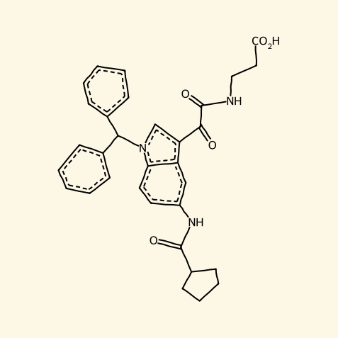 O=C(O)CCNC(=O)C(=O)c1cn(C(c2ccccc2)c2ccccc2)c2ccc(NC(=O)C3CCCC3)cc12